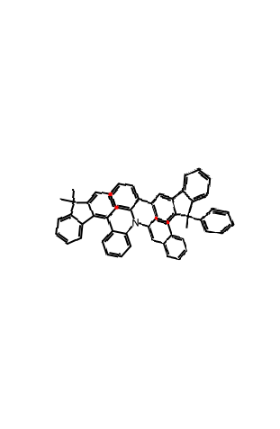 CC1(C)c2ccccc2-c2c(-c3ccccc3N(c3ccc4ccccc4c3)c3ccccc3-c3ccc4c(c3)-c3ccccc3C4(C)c3ccccc3)cccc21